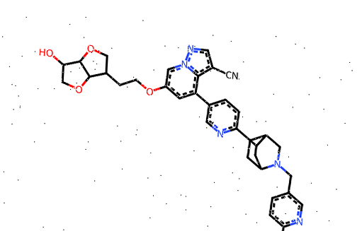 COc1ccc(CN2CC3CCC2CC3c2ccc(-c3cc(OCCC4COC5C(O)COC45)cn4ncc(C#N)c34)cn2)cn1